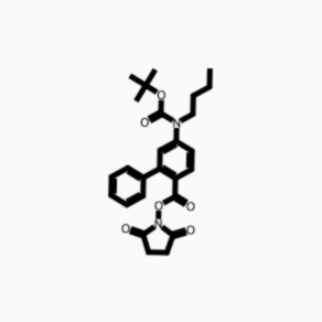 CCCCN(C(=O)OC(C)(C)C)c1ccc(C(=O)ON2C(=O)CCC2=O)c(-c2ccccc2)c1